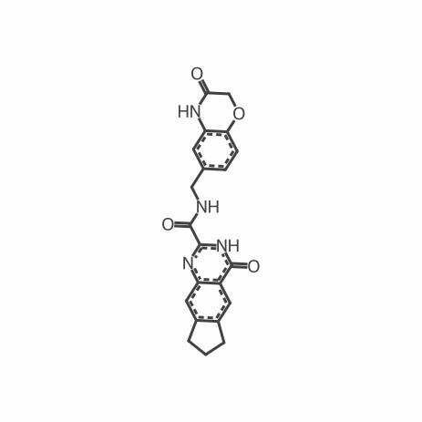 O=C1COc2ccc(CNC(=O)c3nc4cc5c(cc4c(=O)[nH]3)CCC5)cc2N1